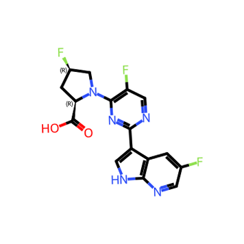 O=C(O)[C@H]1C[C@@H](F)CN1c1nc(-c2c[nH]c3ncc(F)cc23)ncc1F